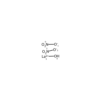 O=[N+]([O-])[O-].O=[N+]([O-])[O-].[OH][La+2]